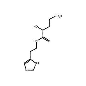 O=C(O)CCC(O)C(=O)NCCc1cnc[nH]1